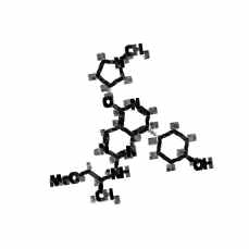 COC[C@H](C)Nc1ncc2c(O[C@@H]3CCN(C)C3)ncc([C@H]3CC[C@H](O)CC3)c2n1